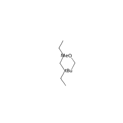 CCCCCCC.COCC(C)(C)C